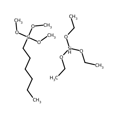 CCCCCC[Si](OC)(OC)OC.CCO[SiH](OCC)OCC